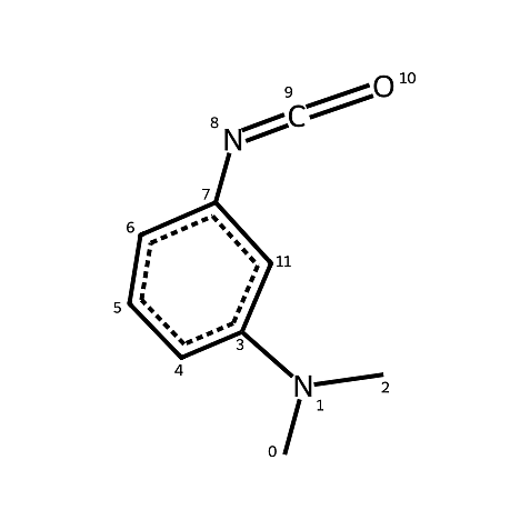 CN(C)c1cccc(N=C=O)c1